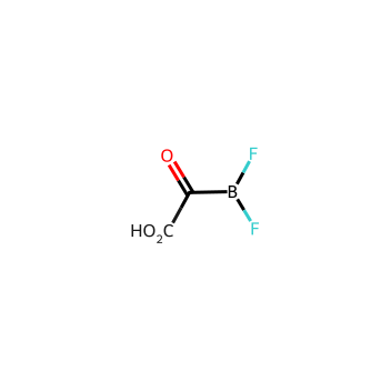 O=C(O)C(=O)B(F)F